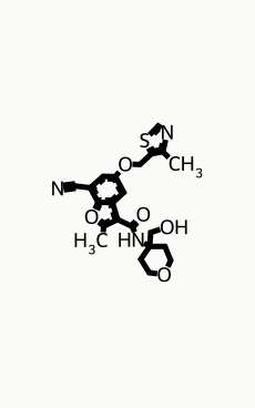 Cc1ncsc1COc1cc(C#N)c2oc(C)c(C(=O)NC3(CO)CCOCC3)c2c1